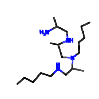 CCCCCNCC(C)N(CCCCC)CC(C)NCC(C)N